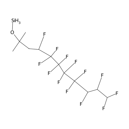 CC(C)(CC(F)C(F)(F)C(F)(F)C(F)(F)C(F)(F)C(F)C(F)C(F)F)O[SiH3]